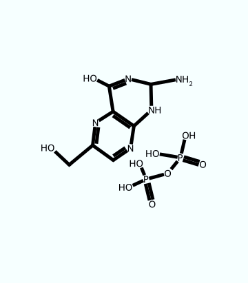 NC1N=C(O)c2nc(CO)cnc2N1.O=P(O)(O)OP(=O)(O)O